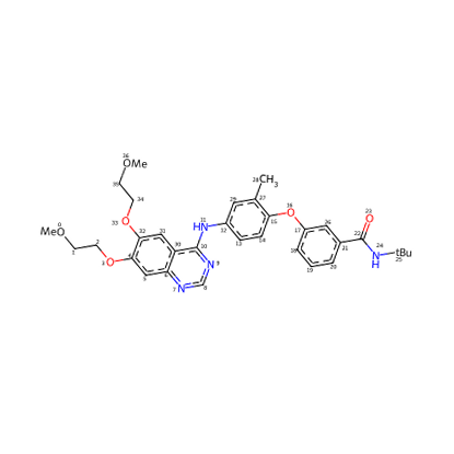 COCCOc1cc2ncnc(Nc3ccc(Oc4cccc(C(=O)NC(C)(C)C)c4)c(C)c3)c2cc1OCCOC